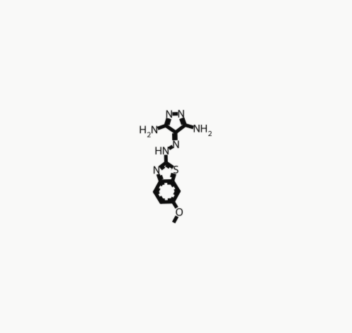 COc1ccc2nc(NN=C3C(N)=NN=C3N)sc2c1